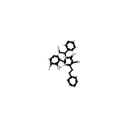 CCc1c(CCc2ccccc2)nc(-c2cccc(F)c2O)n(C(CF)c2ccccc2)c1=O